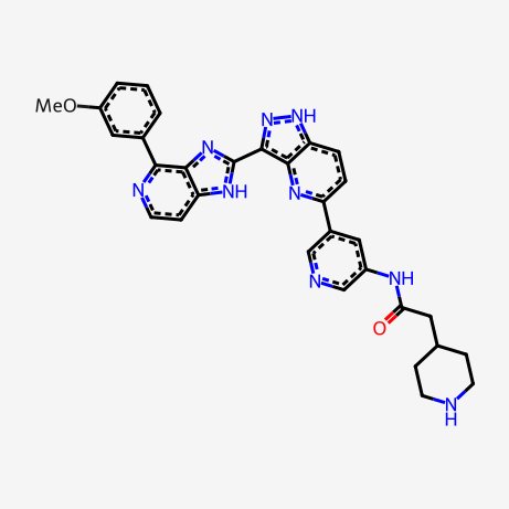 COc1cccc(-c2nccc3[nH]c(-c4n[nH]c5ccc(-c6cncc(NC(=O)CC7CCNCC7)c6)nc45)nc23)c1